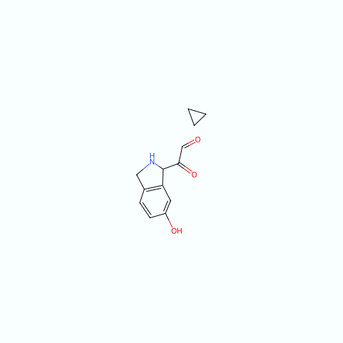 C1CC1.O=CC(=O)C1NCc2ccc(O)cc21